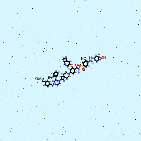 COCc1ccc(CN2CCN(C3CC4(CCN(c5ccc(C(=O)NS(=O)(=O)c6ccc(NC[C@H]7CC[C@](C)(O)CC7)c([N+](=O)[O-])c6)c(Oc6cnc7[nH]ccc7c6)c5)CC4)C3)C(c3ccccc3C(C)C)C2)cc1